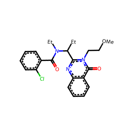 CCC(c1nc2ccccc2c(=O)n1CCOC)N(CC)C(=O)c1ccccc1Cl